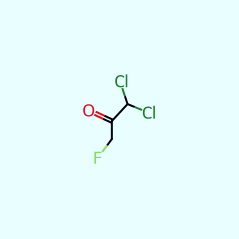 O=C(CF)C(Cl)Cl